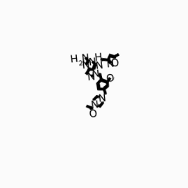 COc1cc(CN2CCN(C(C)=O)CC2)ccc1Cn1ncc2nc(N)nc(NCc3cc(C)on3)c21